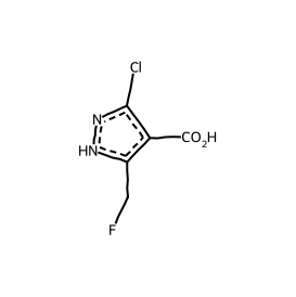 O=C(O)c1c(Cl)n[nH]c1CF